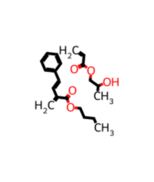 C=C(C=Cc1ccccc1)C(=O)OCCCC.C=CC(=O)OCC(C)O